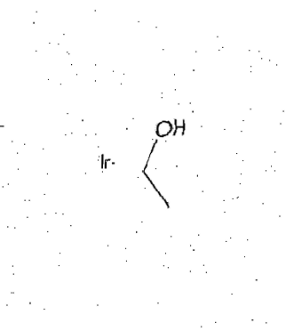 CCO.[Ir]